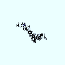 C=C/C(=C\C)NC(=O)NCc1ccc2c(c1)CN(C1CCC(=O)N(COC(=O)C(C)(C)N)C1=O)C2=O